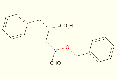 O=CN(C[C@H](Cc1ccccc1)C(=O)O)OCc1ccccc1